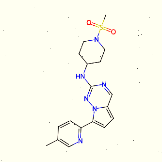 Cc1ccc(-c2ccc3cnc(NC4CCN(S(C)(=O)=O)CC4)nn23)nc1